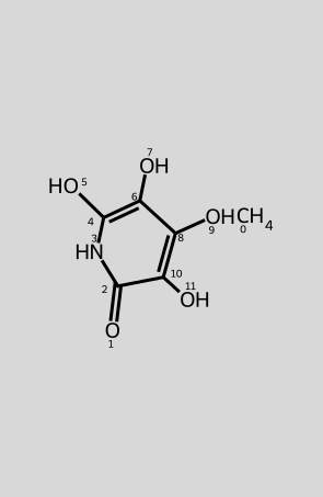 C.O=c1[nH]c(O)c(O)c(O)c1O